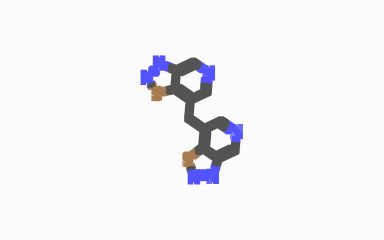 c1ncc2nnsc2c1Cc1cncc2nnsc12